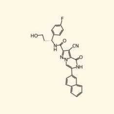 N#Cc1c(C(=O)N[C@H](CCO)c2ccc(F)cc2)nn2cc(-c3ccc4ccccc4c3)[nH]c(=O)c12